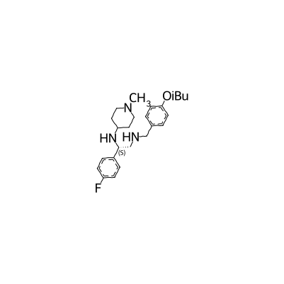 CC(C)COc1ccc(CNC[C@@H](NC2CCN(C)CC2)c2ccc(F)cc2)cc1